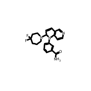 NC(=O)c1cccc(N2c3ccncc3C=CC2N2CCCC(F)(F)CC2)c1